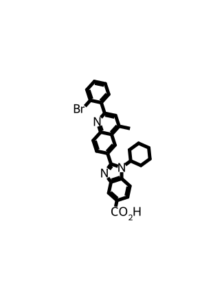 Cc1cc(-c2ccccc2Br)nc2ccc(-c3nc4cc(C(=O)O)ccc4n3C3CCCCC3)cc12